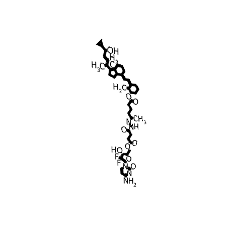 C=C1/C(=C\C=C2/CCC[C@@]3(C)C2CCC3C(C)/C=C/C(O)C2CC2)CCC[C@@H]1OC(=O)CCC/C(C)=N/NC(=O)CCC(=O)OCC1OC(n2ccc(N)nc2=O)C(F)(F)C1O